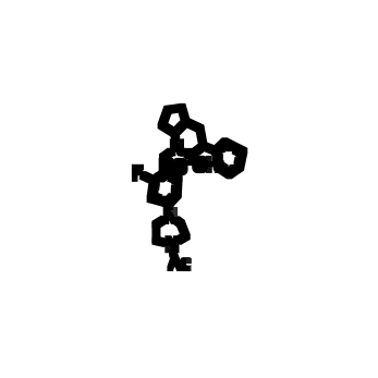 CC(=O)N1CCN(c2ccc(CN3C4CCCC4CC(c4ccccc4)S3(O)O)c(F)c2)CC1